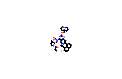 C#Cc1c(F)ccc2cccc(-c3ncc4c(N(C)C[C@H]5N(C(=O)C=C)CCC5(C)O)nc(OCC56CCCN5CCC6)nc4c3F)c12